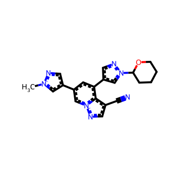 Cn1cc(-c2cc(-c3cnn(C4CCCCO4)c3)c3c(C#N)cnn3c2)cn1